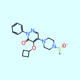 C[S+]([O-])N1CCN(c2cnn(-c3ccccc3)c(=O)c2OC2CCC2)CC1